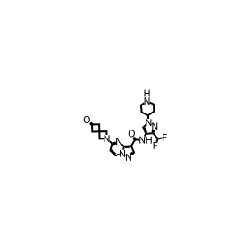 O=C1CC2(C1)CN(c1ccn3ncc(C(=O)Nc4cn(C5CCNCC5)nc4C(F)F)c3n1)C2